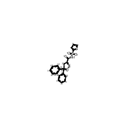 O=C(NS(=O)(=O)c1cccs1)C1=NOC(c2ccccc2)(c2ccccc2)C1